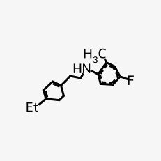 CCC1=CC=C(CCNc2ccc(F)cc2C)CC1